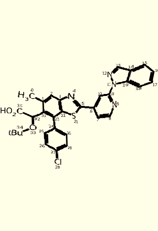 Cc1cc2nc(-c3ccnc(-n4ncc5ccccc54)c3)sc2c(-c2ccc(Cl)cc2)c1C(OC(C)(C)C)C(=O)O